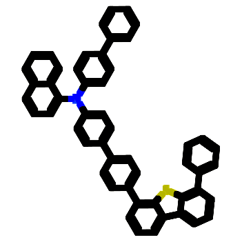 c1ccc(-c2ccc(N(c3ccc(-c4ccc(-c5cccc6c5sc5c(-c7ccccc7)cccc56)cc4)cc3)c3cccc4ccccc34)cc2)cc1